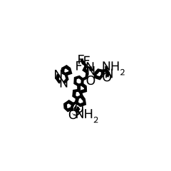 C1=NCc2ccccc2N=C1.Nc1noc2ccc(-n3nc(C(F)(F)F)cc3C(=O)C3CCCc4c3ccc3c4ccc4c(-c5ccccc5S(N)(=O)=O)cccc43)cc12